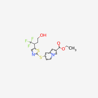 CCOC(=O)c1cc2cc(Sc3ncc(C(CCO)C(F)(F)F)s3)ccn2c1